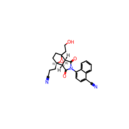 N#CCC[C@@]12CCC(CCO)(O1)[C@@H]1C(=O)N(c3ccc(C#N)c4ccccc34)C(=O)[C@@H]12